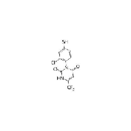 O=c1cc(C(F)(F)F)[nH]c(=O)n1-c1ccc(S)cc1Cl